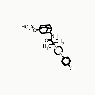 CC(C)(C(=O)NC1C2CC3CC1CC(OC(=O)O)(C3)C2)N1CCN(c2ccc(Cl)cc2)CC1